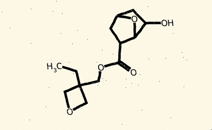 CCC1(COC(=O)C2CC3CC(O)C2O3)COC1